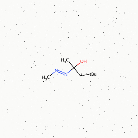 C/N=N/C(C)(O)CC(C)(C)C